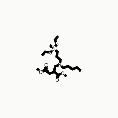 CCCCCN(CCC[Si](C)(OCC)OCC)CC(CC(=O)OC)C(=O)OC